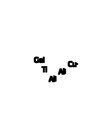 [Al].[Al].[Cu].[Ge].[Ti]